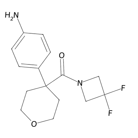 Nc1ccc(C2(C(=O)N3CC(F)(F)C3)CCOCC2)cc1